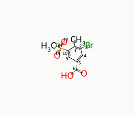 Cc1c(Br)cc(C(=O)O)cc1S(C)(=O)=O